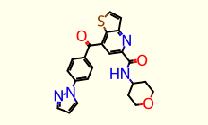 O=C(NC1CCOCC1)c1cc(C(=O)c2ccc(-n3cccn3)cc2)c2sccc2n1